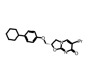 CC(C)c1cn2c(nc1=O)O[C@H](COc1ccc(C3CCCCC3)cc1)C2